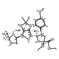 COC(=O)[C@@]1(OC)C[C@H](c2ccc(OC)cc2)N([C@@H]2O[C@@H](C3CO[C@@](C)(N)O3)[C@H]3OC(C)(C)O[C@H]32)O1